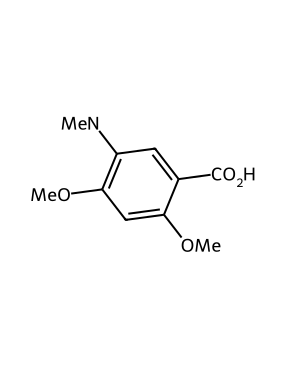 CNc1cc(C(=O)O)c(OC)cc1OC